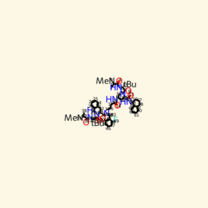 CN[C@@H](C)C(=O)NC(C(=O)N1C[C@@H](NC(=O)CCCN(C(=O)[C@@H]2Cc3ccccc3CN2C(=O)[C@@H](NC(=O)[C@H](C)NC)C(C)(C)C)[C@H](C)c2ccccc2F)C[C@H]1C(=O)N[C@@H]1CCCc2ccccc21)C(C)(C)C